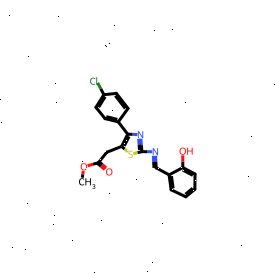 COC(=O)Cc1sc(/N=C/c2ccccc2O)nc1-c1ccc(Cl)cc1